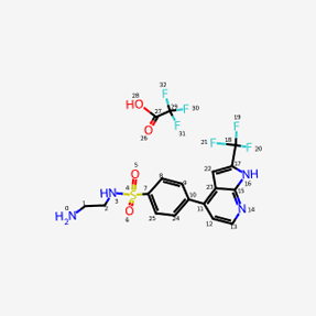 NCCNS(=O)(=O)c1ccc(-c2ccnc3[nH]c(C(F)(F)F)cc23)cc1.O=C(O)C(F)(F)F